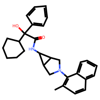 Cc1ccc2ccccc2c1N1CC2C(C1)C2NC(=O)C(O)(c1ccccc1)C1CCCCC1